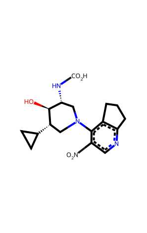 O=C(O)N[C@@H]1CN(c2c([N+](=O)[O-])cnc3c2CCC3)C[C@H](C2CC2)[C@H]1O